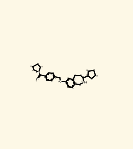 O=C(c1ccc(COc2ccc3c(c2)CCC(C2CCCC2)NC3)cc1)N1CCCC1